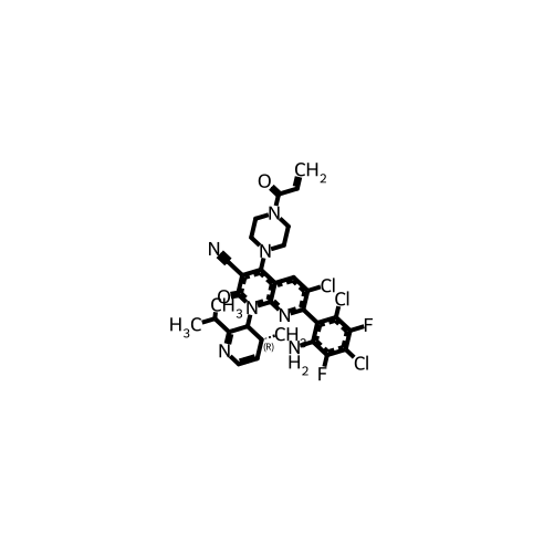 C=CC(=O)N1CCN(c2c(C#N)c(=O)n(C3C(C(C)C)=NC=C[C@H]3C)c3nc(-c4c(N)c(F)c(Cl)c(F)c4Cl)c(Cl)cc23)CC1